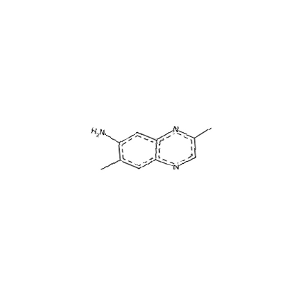 Cc1cnc2cc(C)c(N)cc2n1